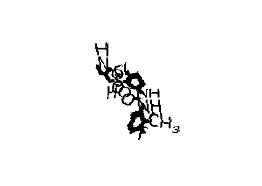 Cc1c(F)cccc1NC(=O)Nc1ccc(Cl)c(S(=O)(=O)CC2CCNC2)c1O